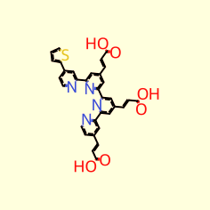 O=C(O)/C=C/c1ccnc(-c2cc(/C=C/C(=O)O)cc(-c3cc(/C=C/C(=O)O)cc(-c4cc(-c5cccs5)ccn4)n3)n2)c1